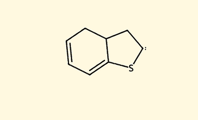 [C]1CC2CC=CC=C2S1